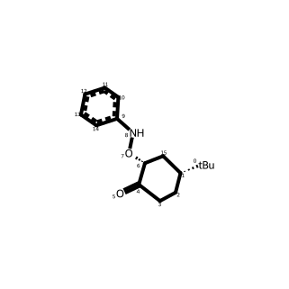 CC(C)(C)[C@@H]1CCC(=O)[C@H](ONc2ccccc2)C1